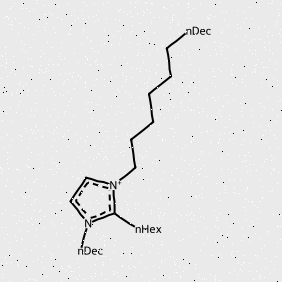 CCCCCCCCCCCCCCCC[n+]1ccn(CCCCCCCCCC)c1CCCCCC